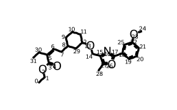 CCOC(=O)C(=CCC1CCCC(OCc2nc(-c3cccc(OC)c3)oc2C)C1)CC